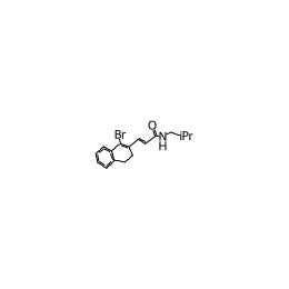 CC(C)CNC(=O)C=CC1=C(Br)c2ccccc2CC1